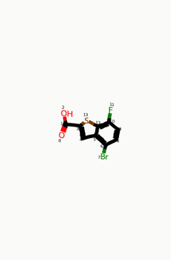 O=C(O)c1cc2c(Br)ccc(F)c2s1